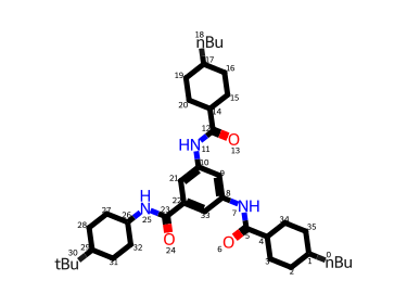 CCCCC1CCC(C(=O)Nc2cc(NC(=O)C3CCC(CCCC)CC3)cc(C(=O)NC3CCC(C(C)(C)C)CC3)c2)CC1